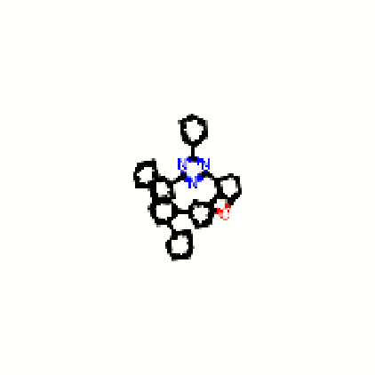 C1=c2oc3ccc(-c4cc(-c5ccccc5)ccc4-c4ccccc4)cc3c2=C(c2nc(-c3ccccc3)nc(-c3ccccc3)n2)CC1